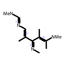 C/N=C(C(/C)=C/N=C/NC)\C(C)=C(/C)NC